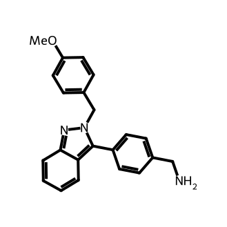 COc1ccc(Cn2nc3ccccc3c2-c2ccc(CN)cc2)cc1